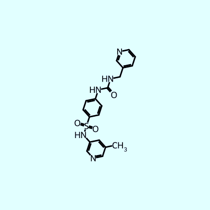 Cc1cncc(NS(=O)(=O)c2ccc(NC(=O)NCc3cccnc3)cc2)c1